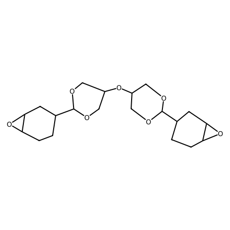 C1OC(C2CCC3OC3C2)OCC1OC1COC(C2CCC3OC3C2)OC1